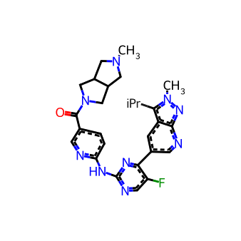 CC(C)c1c2cc(-c3nc(Nc4ccc(C(=O)N5CC6CN(C)CC6C5)cn4)ncc3F)cnc2nn1C